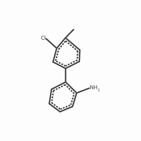 Cc1ccc(-c2ccccc2N)cc1Cl